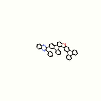 c1ccc(-c2nc3ccccc3nc2-c2ccc3c(c2)c2ccccc2c2c3ccc3oc4cc5c6ccccc6c6ccccc6c5cc4c32)cc1